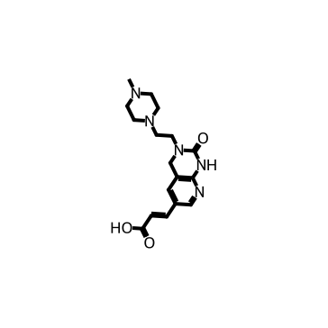 CN1CCN(CCN2Cc3cc(C=CC(=O)O)cnc3NC2=O)CC1